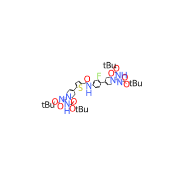 CC(C)(C)OC(=O)/N=C(\NC(=O)OC(C)(C)C)N1CC=C(c2ccc(C(=O)Nc3ccc(C4=CCN(/C(=N/C(=O)OC(C)(C)C)NC(=O)OC(C)(C)C)CC4)c(F)c3)s2)CC1